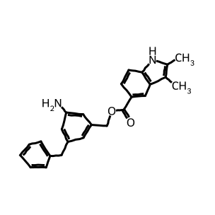 Cc1[nH]c2ccc(C(=O)OCc3cc(N)cc(Cc4ccccc4)c3)cc2c1C